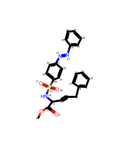 COC(=O)C(C#CCc1ccccc1)NS(=O)(=O)c1ccc(N=Nc2ccccc2)cc1